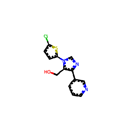 OCc1c(-c2cccnc2)ncn1-c1ccc(Cl)s1